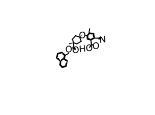 Cc1cc(C#N)c(C(=O)O)cc1O[C@H]1CC[C@@](C)(C(=O)OCc2cccc3ccccc23)CC1